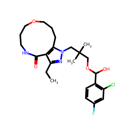 CCc1nn(CC(C)(C)COC(O)c2ccc(F)cc2Cl)c2c1C(=O)NCCCOCCC2